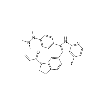 C=CC(=O)N1CCc2ccc(-c3c(-c4ccc(N(C)N(C)C)cc4)[nH]c4nccc(Cl)c34)cc21